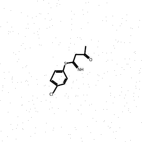 CC(=O)CC(=N)Sc1ccc(Cl)cc1